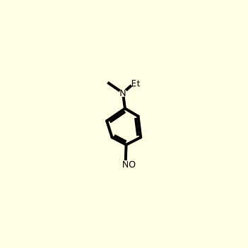 CCN(C)c1ccc(N=O)cc1